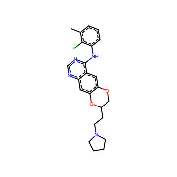 Cc1cccc(Nc2ncnc3cc4c(cc23)OCC(CCN2CCCC2)O4)c1F